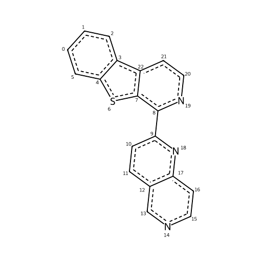 c1ccc2c(c1)sc1c(-c3ccc4cnccc4n3)nccc12